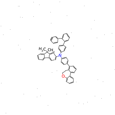 CC1(C)c2ccccc2-c2ccc(N(c3ccc(-c4ccccc4-c4cc#ccc4)cc3)c3ccc(-c4cccc5c4CCOc4ccccc4-5)cc3)cc21